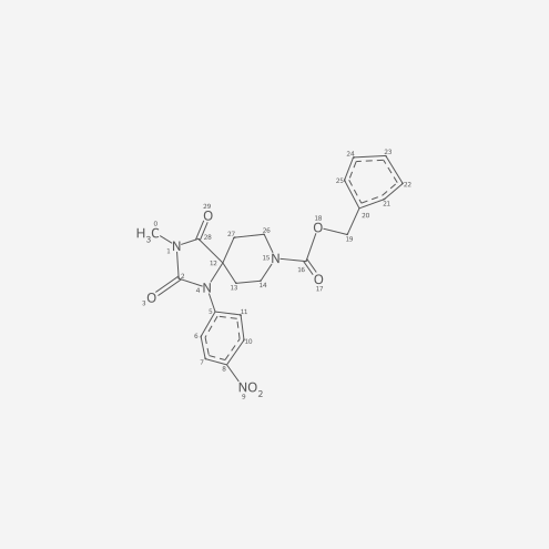 CN1C(=O)N(c2ccc([N+](=O)[O-])cc2)C2(CCN(C(=O)OCc3ccccc3)CC2)C1=O